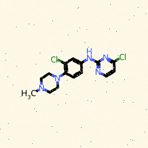 CN1CCN(c2ccc(Nc3nccc(Cl)n3)cc2Cl)CC1